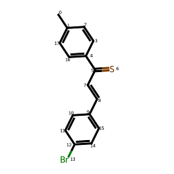 Cc1ccc(C(=S)C=Cc2ccc(Br)cc2)cc1